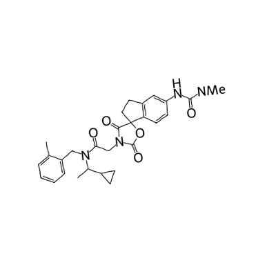 CNC(=O)Nc1ccc2c(c1)CCC21OC(=O)N(CC(=O)N(Cc2ccccc2C)C(C)C2CC2)C1=O